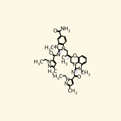 CCn1nc(C)cc1C(=O)/N=c1\n(C)c2cc(C(N)=O)ccc2n1C/C(C)=C1/Cn2/c(=N/C(=O)c3cc(C)nn3CC)n(C)c3cccc(c32)O1